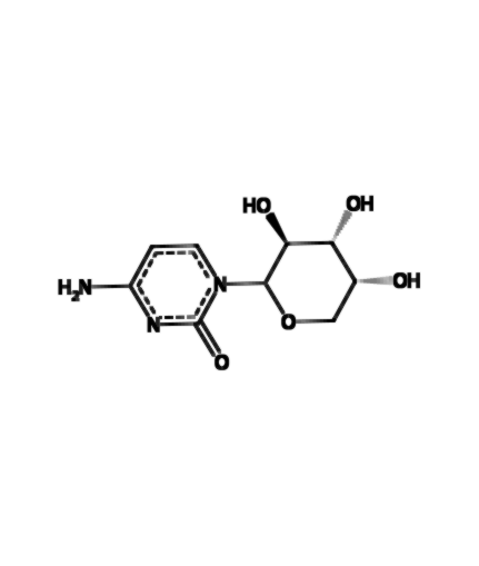 Nc1ccn(C2OC[C@@H](O)[C@@H](O)[C@@H]2O)c(=O)n1